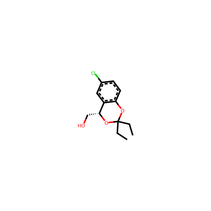 CCC1(CC)Oc2ccc(Cl)cc2[C@@H](CO)O1